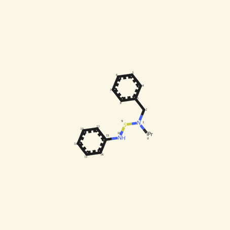 CC(C)N(Cc1ccccc1)SNc1ccccc1